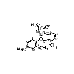 COc1ccc(OCc2c(C)cccc2-n2nnn(C)c2=O)c(C)c1